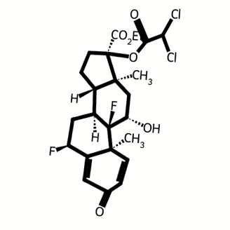 CCOC(=O)[C@@]1(OC(=O)C(Cl)Cl)CC[C@H]2[C@@H]3C[C@H](F)C4=CC(=O)C=C[C@]4(C)[C@@]3(F)[C@@H](O)C[C@@]21C